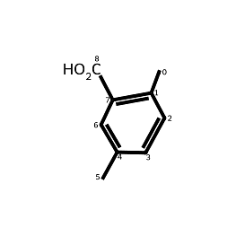 [CH2]c1ccc(C)cc1C(=O)O